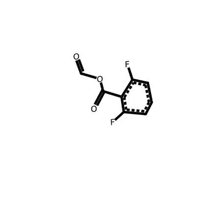 O=COC(=O)c1c(F)cccc1F